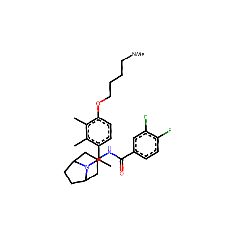 CNCCCCOc1ccc(C(C)N2C3CCC2CC(NC(=O)c2ccc(F)c(F)c2)C3)c(C)c1C